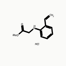 C=Cc1ccccc1NCC(=O)OC.Cl